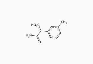 Cc1cccc(C(C(N)=O)C(=O)O)c1